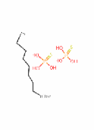 CCCCCCCCCCCCCCCC[CH2][Zn].OP(O)(O)=S.OP(O)(O)=S